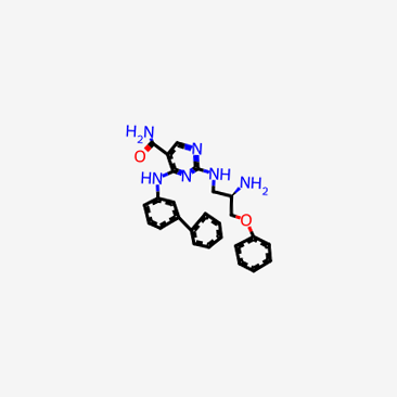 NC(=O)c1cnc(NC[C@@H](N)COc2ccccc2)nc1Nc1cccc(-c2ccccc2)c1